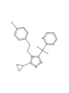 CC(C)(c1ccccn1)c1nnc(C2CC2)n1CCc1ccc(F)cc1